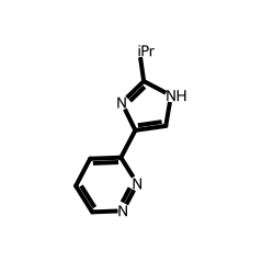 CC(C)c1nc(-c2cccnn2)c[nH]1